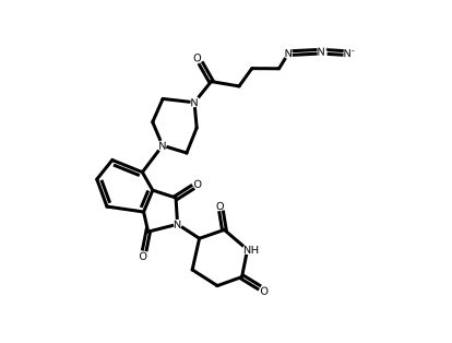 [N-]=[N+]=NCCCC(=O)N1CCN(c2cccc3c2C(=O)N(C2CCC(=O)NC2=O)C3=O)CC1